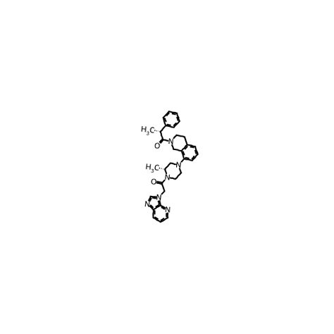 C[C@@H]1CN(c2cccc3c2CN(C(=O)[C@H](C)c2ccccc2)CC3)CCN1C(=O)Cn1cnc2cccnc21